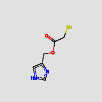 O=C(CS)OCc1c[nH]cn1